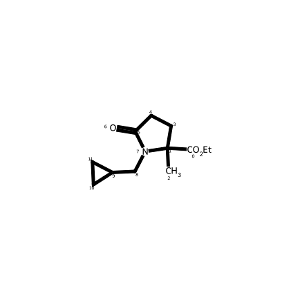 CCOC(=O)C1(C)CCC(=O)N1CC1CC1